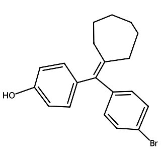 Oc1ccc(C(=C2CCCCCC2)c2ccc(Br)cc2)cc1